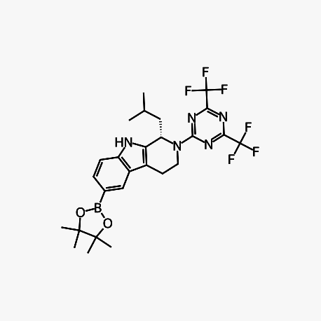 CC(C)C[C@H]1c2[nH]c3ccc(B4OC(C)(C)C(C)(C)O4)cc3c2CCN1c1nc(C(F)(F)F)nc(C(F)(F)F)n1